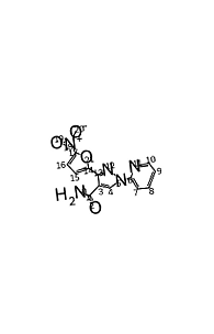 NC(=O)c1cn(-c2ccccn2)nc1-c1ccc([N+](=O)[O-])o1